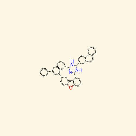 c1ccc(C2=NC(c3cccc4oc5ccc(-c6cccc(-c7ccccc7)c6)cc5c34)NC(c3ccc4c(ccc5ccccc54)c3)N2)cc1